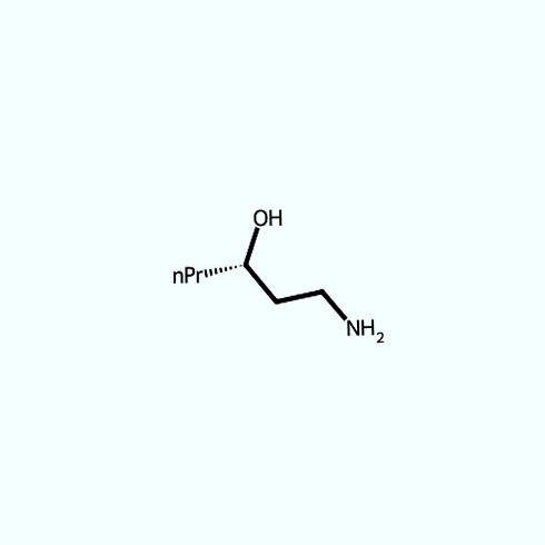 CCC[C@H](O)CCN